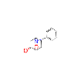 O=C1CC2CCC1ON2c1ccccc1